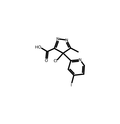 CC1=NN=C(C(=O)O)C1(Cl)c1cc(I)ccn1